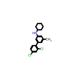 Cc1[c]c(-c2ccc(Cl)cc2Cl)cc(NC2CCCCC2)c1